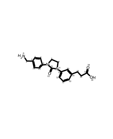 NCc1ccc(N2CCN(c3cccc(CCC(=O)O)c3)C2=O)cc1